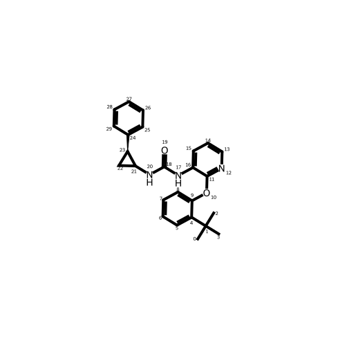 CC(C)(C)c1ccccc1Oc1ncccc1NC(=O)NC1C[C@H]1c1ccccc1